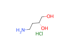 Cl.NCC[C@@H](O)CO